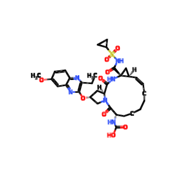 CCc1nc2ccc(OC)cc2nc1O[C@@H]1C[C@H]2C(=O)N[C@]3(C(=O)NS(=O)(=O)C4CC4)C[C@H]3/C=C\CCCCC[C@H](NC(=O)O)C(=O)N2C1